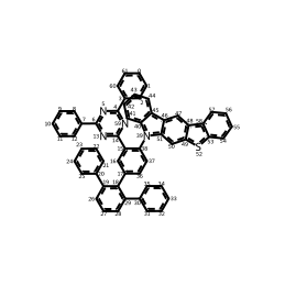 c1ccc(-c2nc(-c3ccccc3)nc(-c3cc(-c4c(-c5ccccc5)cccc4-c4ccccc4)ccc3-n3c4ccccc4c4cc5c(cc43)sc3ccccc35)n2)cc1